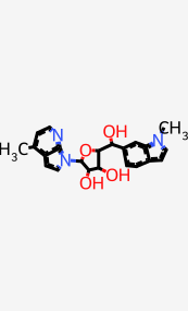 Cc1ccnc2c1ccn2C1OC(C(O)c2ccc3ccn(C)c3c2)C(O)C1O